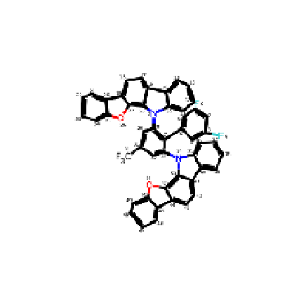 Fc1cc(F)cc(-c2c(-n3c4ccccc4c4ccc5c6ccccc6oc5c43)cc(C(F)(F)F)cc2-n2c3ccccc3c3ccc4c5ccccc5oc4c32)c1